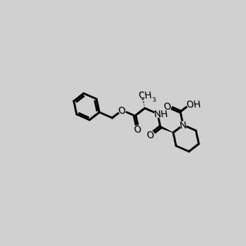 C[C@H](NC(=O)[C@@H]1CCCCN1C(=O)O)C(=O)OCc1ccccc1